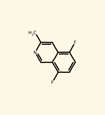 Cc1cc2c(F)ccc(F)c2cn1